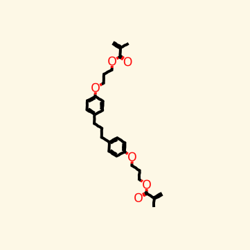 C=C(C)C(=O)OCCCOc1ccc(CCCc2ccc(OCCCOC(=O)C(=C)C)cc2)cc1